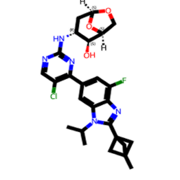 CC(C)n1c(C23CC(C)(C2)C3)nc2c(F)cc(-c3nc(N[C@@H]4C[C@H]5OC[C@H](O5)[C@H]4O)ncc3Cl)cc21